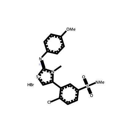 Br.CNS(=O)(=O)c1ccc(Cl)c(-c2cs/c(=N/c3ccc(OC)cc3)n2C)c1